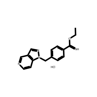 CCOC(=N)c1ccc(Cn2ncc3cnccc32)cc1.Cl